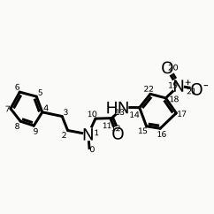 CN(CCc1ccccc1)CC(=O)Nc1cccc([N+](=O)[O-])c1